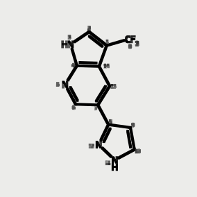 FC(F)(F)c1c[nH]c2ncc(-c3cc[nH]n3)cc12